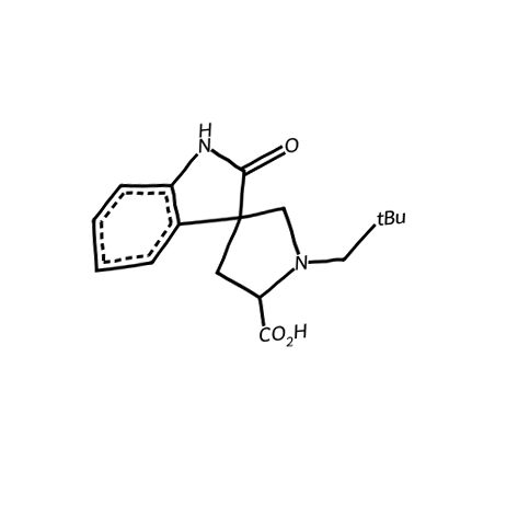 CC(C)(C)CN1CC2(CC1C(=O)O)C(=O)Nc1ccccc12